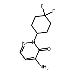 Nc1ccnn(C2CCC(F)(F)CC2)c1=O